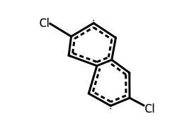 Clc1[c]cc2cc(Cl)[c]cc2c1